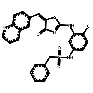 O=C1N=C(Nc2cc(NS(=O)(=O)Cc3ccccc3)ccc2Cl)SC1=Cc1ccc2ncccc2c1